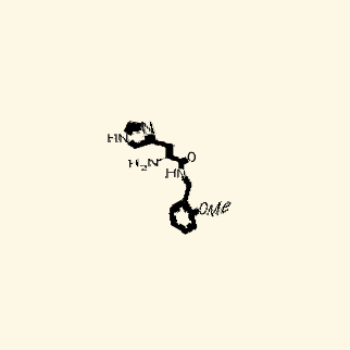 COc1ccccc1CNC(=O)[C@H](N)Cc1c[nH]cn1